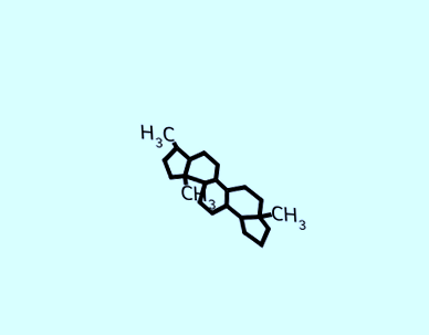 CC1CCC2(C)C1CCC1C3CCC4(C)CCCC4C3CCC12